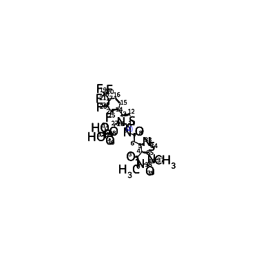 Cn1c(=O)c2c(CC(=O)/N=c3\scc(-c4ccc(C(F)(F)F)c(F)c4F)n3COP(=O)(O)O)nsc2n(C)c1=O